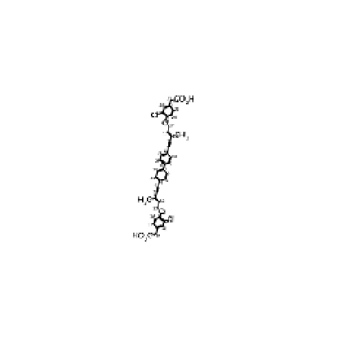 CC(C#Cc1ccc(-c2ccc(C#CC(C)=CCOc3ccc(CC(=O)O)cc3Cl)cc2)cc1)=CCOc1ccc(CC(=O)O)cc1Cl